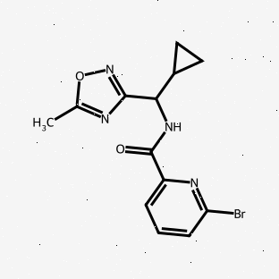 Cc1nc(C(NC(=O)c2cccc(Br)n2)C2CC2)no1